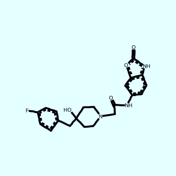 O=C(CN1CCC(O)(Cc2ccc(F)cc2)CC1)Nc1ccc2[nH]c(=O)oc2c1